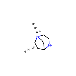 C1CN2CCC(CC2)N1.[Al+3].[H-].[H-].[H-].[H-].[Li+]